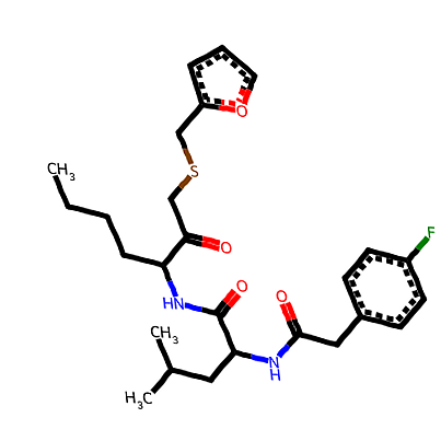 CCCCC(NC(=O)C(CC(C)C)NC(=O)Cc1ccc(F)cc1)C(=O)CSCc1ccco1